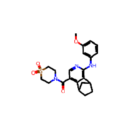 COc1cccc(Nc2ncc(C(=O)N3CCS(=O)(=O)CC3)c3c2C2CCC3C2)c1